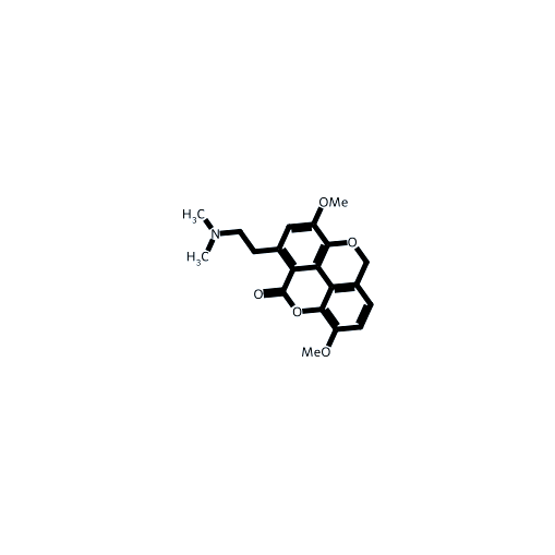 COc1cc(CCN(C)C)c2c(=O)oc3c(OC)ccc4c3c2c1OC4